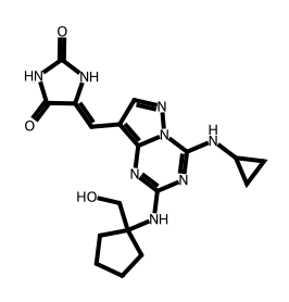 O=C1NC(=O)/C(=C/c2cnn3c(NC4CC4)nc(NC4(CO)CCCC4)nc23)N1